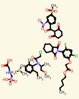 CCCCCOC(=O)COc1cc(N2C(=O)C3=C(CCCC3)C2=O)c(F)cc1Cl.CCc1cccc(C)c1N(C(=O)CCl)C(C)COC.CS(=O)(=O)c1ccc(C(=O)C2C(=O)CCCC2=O)c([N+](=O)[O-])c1.C[S+](C)C.O=C(O)CNCP(=O)([O-])O